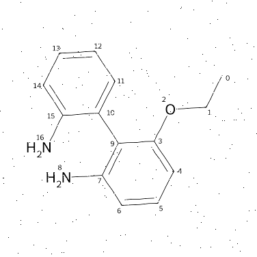 CCOc1cccc(N)c1-c1ccccc1N